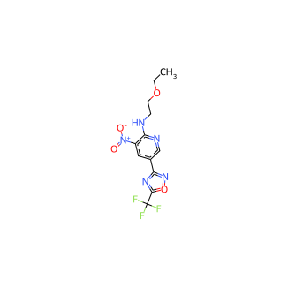 CCOCCNc1ncc(-c2noc(C(F)(F)F)n2)cc1[N+](=O)[O-]